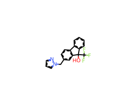 OC1(C(F)(F)F)c2ccccc2-c2ccc(Cn3cccn3)cc21